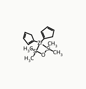 C[Si]1(C)O[Si](C)(C)[Zr]1([C]1=CC=CC1)[C]1=CC=CC1